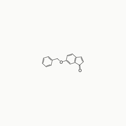 O=C1C=Cc2ccc(OCc3ccccc3)cc21